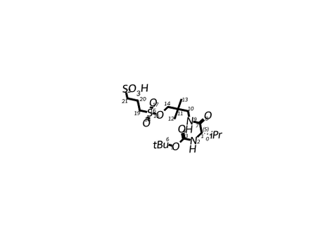 CC(C)[C@H](NC(=O)OC(C)(C)C)C(=O)NCC(C)(C)COS(=O)(=O)CCCS(=O)(=O)O